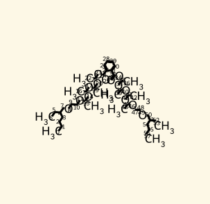 CCCCC(CC)COCCOC(C)OC(C)OC(C)OC(C)OC(=O)c1ccccc1C(=O)OC(C)OC(C)OC(C)OC(C)OCCOCC(CC)CCCC